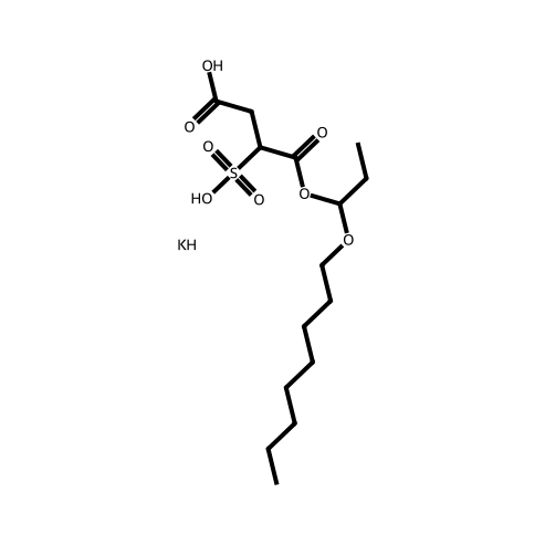 CCCCCCCCOC(CC)OC(=O)C(CC(=O)O)S(=O)(=O)O.[KH]